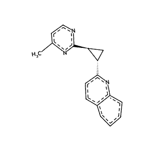 Cc1ccnc([C@H]2C[C@@H]2c2ccc3ccccc3n2)n1